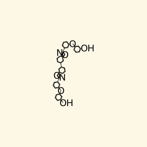 Oc1cccc(Oc2cccc(-c3nc4ccc(-c5ccc6nc(-c7cccc(Oc8cccc(O)c8)c7)oc6c5)cc4o3)c2)c1